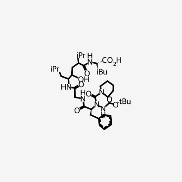 CC[C@H](C)[C@H](NC(=O)C(CC(O)C(CC(C)C)NC(=O)CNC(=O)[C@H](Cc1ccccc1)N(NC(=O)OC(C)(C)C)C(=O)N1CCCCC1)C(C)C)C(=O)O